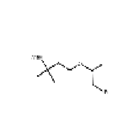 CNC(C)(C)CCOC(C)CC(C)C